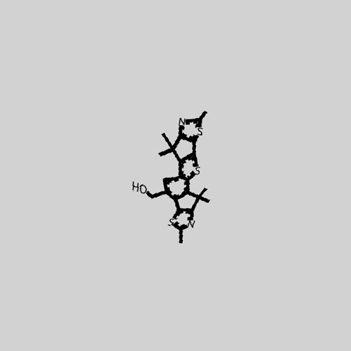 Cc1nc2c(s1)-c1sc3c4c(c(CO)cc3c1C2(C)C)-c1sc(C)nc1C4(C)C